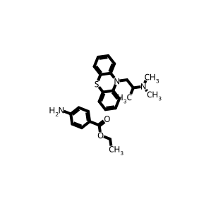 CC(CN1c2ccccc2Sc2ccccc21)N(C)C.CCOC(=O)c1ccc(N)cc1